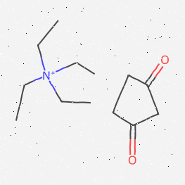 CC[N+](CC)(CC)CC.O=C1CCC(=O)C1